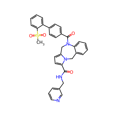 CS(=O)(=O)c1ccccc1-c1ccc(C(=O)N2Cc3ccc(C(=O)NCc4cccnc4)n3Cc3ccccc32)cc1